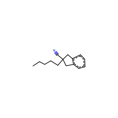 CCCCCC1(C#N)Cc2ccccc2C1